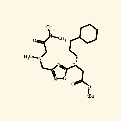 CN(CC(=O)N(C)C)Cc1noc([C@H](CCCC2CCCCC2)CC(=O)OC(C)(C)C)n1